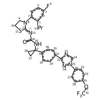 CC(C)c1cc(F)ccc1N1CCS/C1=N\C(=O)NC1(c2ccc(-c3ncn(-c4ccc(OC(F)(F)F)cc4)n3)cc2)CC1